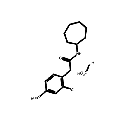 COc1ccc(CC(=O)NC2CCCCCC2)c(Cl)c1.O=C(O)O